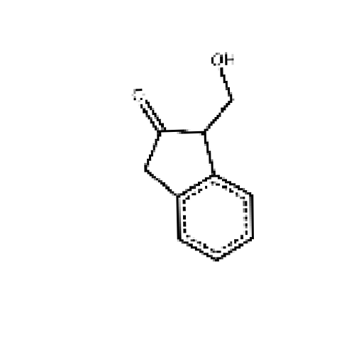 O=C1Cc2ccccc2C1CO